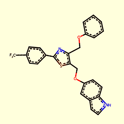 FC(F)(F)c1ccc(-c2nc(COc3ccccc3)c(COc3ccc4[nH]ccc4c3)s2)cc1